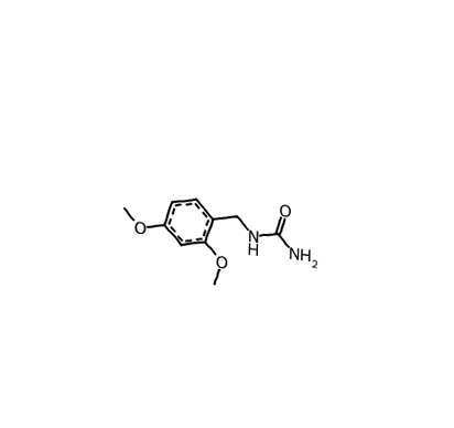 COc1ccc(CNC(N)=O)c(OC)c1